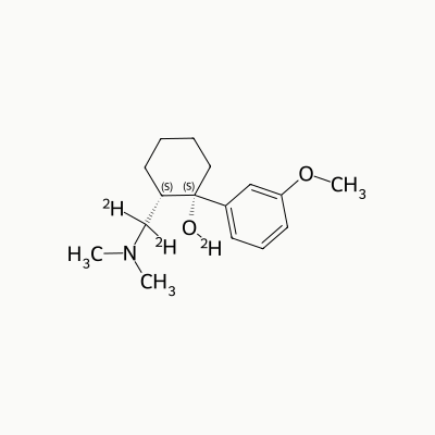 [2H]O[C@@]1(c2cccc(OC)c2)CCCC[C@H]1C([2H])([2H])N(C)C